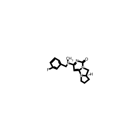 CN(Cc1cccc(F)c1)c1cc2n(c(=O)n1)C[C@H]1CCCN21